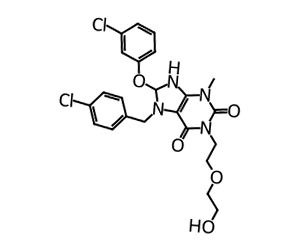 Cn1c2c(c(=O)n(CCOCCO)c1=O)N(Cc1ccc(Cl)cc1)C(Oc1cccc(Cl)c1)N2